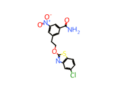 NC(=O)c1cc(CCOc2nc3cc(Cl)ccc3s2)cc([N+](=O)[O-])c1